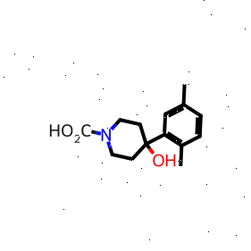 Cc1ccc(C)c(C2(O)CCN(C(=O)O)CC2)c1